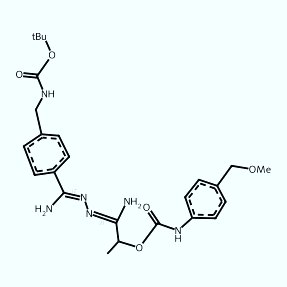 COCc1ccc(NC(=O)OC(C)/C(N)=N/N=C(\N)c2ccc(CNC(=O)OC(C)(C)C)cc2)cc1